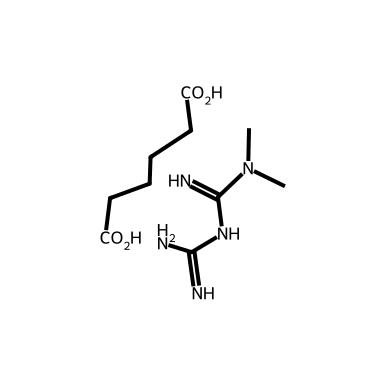 CN(C)C(=N)NC(=N)N.O=C(O)CCCCC(=O)O